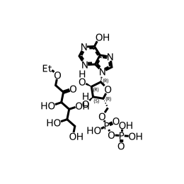 CCOCC(=O)C(O)C(O)C(O)CO.O=P(O)(O)OP(=O)(O)OC[C@H]1O[C@@H](n2cnc3c(O)ncnc32)[C@H](O)[C@@H]1O